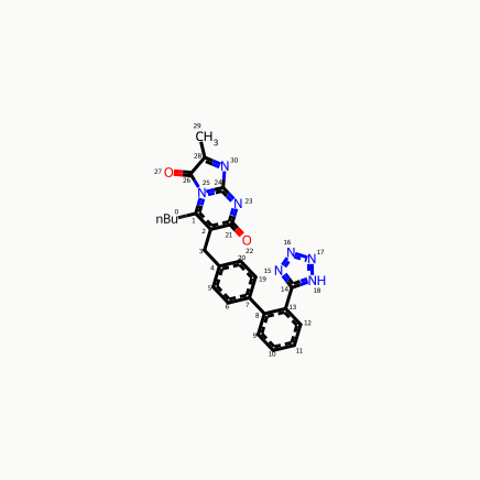 CCCCc1c(Cc2ccc(-c3ccccc3-c3nnn[nH]3)cc2)c(=O)nc2n1C(=O)C(C)=N2